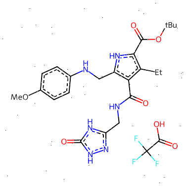 CCc1c(C(=O)OC(C)(C)C)[nH]c(CNc2ccc(OC)cc2)c1C(=O)NCc1n[nH]c(=O)[nH]1.O=C(O)C(F)(F)F